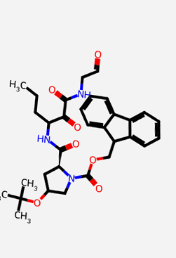 CCCC(NC(=O)[C@@H]1CC(OC(C)(C)C)CN1C(=O)OCC1c2ccccc2-c2ccccc21)C(=O)C(=O)NCC=O